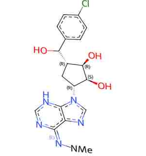 CN/N=c1/nc[nH]c2c1ncn2[C@@H]1C[C@H](C(O)c2ccc(Cl)cc2)[C@@H](O)[C@H]1O